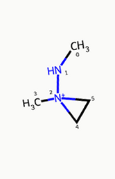 CN[N+]1(C)CC1